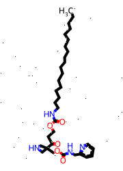 CCCCCCCCCCCCCCCCCCNC(=O)OCCC(=O)C1(COC(=O)NCc2ccccn2)CNC1